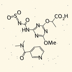 CN(C)C(=O)c1cccnc1.COc1nc(NC(=O)N=S(=O)=O)nc(OC(C)C(=O)O)n1